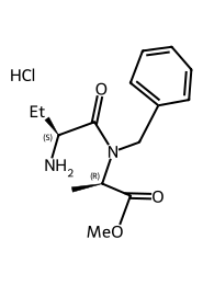 CC[C@H](N)C(=O)N(Cc1ccccc1)[C@H](C)C(=O)OC.Cl